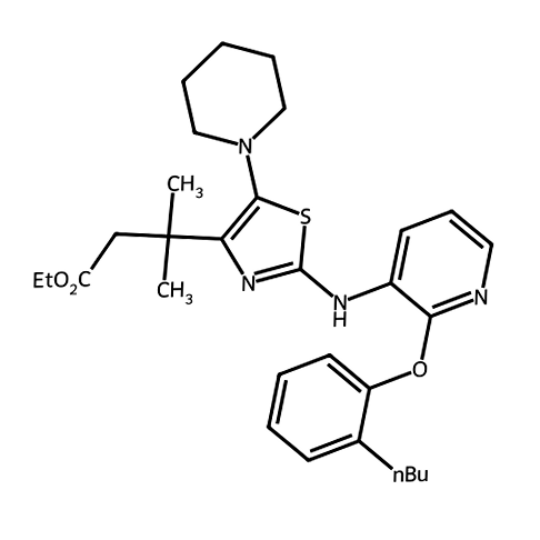 CCCCc1ccccc1Oc1ncccc1Nc1nc(C(C)(C)CC(=O)OCC)c(N2CCCCC2)s1